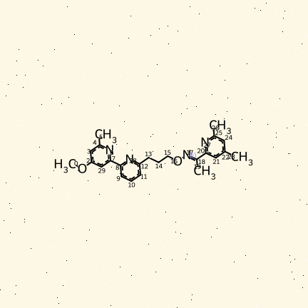 COc1cc(C)nc(-c2cccc(CCCO/N=C(\C)c3cc(C)cc(C)n3)n2)c1